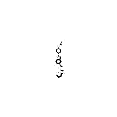 CCC(=O)NC1CCC(n2cc3cc(C(=O)Nc4cnc5cccnn45)c(OC)cc3n2)CC1